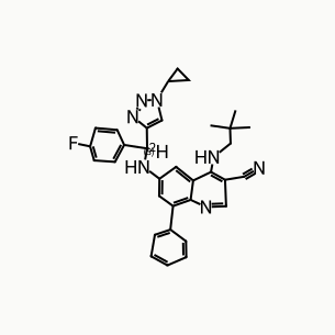 [2H][C@](Nc1cc(-c2ccccc2)c2ncc(C#N)c(NCC(C)(C)C)c2c1)(c1ccc(F)cc1)c1cn(C2CC2)nn1